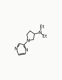 CCN(CC)C1CCN(c2cnccn2)C1